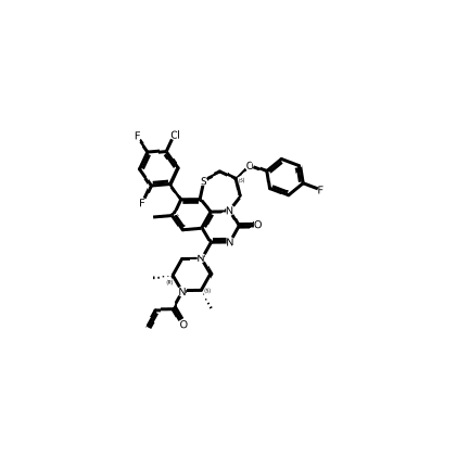 C=CC(=O)N1[C@H](C)CN(c2nc(=O)n3c4c(c(-c5cc(Cl)c(F)cc5F)c(C)cc24)SC[C@@H](Oc2ccc(F)cc2)C3)C[C@@H]1C